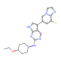 CCO[C@H]1CC[C@@H](Nc2ncc3c(-c4cc(F)c5nccn5c4)c[nH]c3n2)CC1